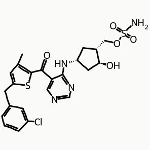 Cc1cc(Cc2cccc(Cl)c2)sc1C(=O)c1cncnc1N[C@@H]1C[C@H](COS(N)(=O)=O)[C@@H](O)C1